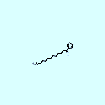 CCCCCCCCCCCC(=O)c1cc[nH]c1